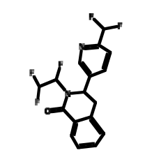 O=C1c2ccccc2CC(c2ccc(C(F)F)nc2)N1C(F)C(F)F